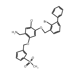 CS(=O)(=O)c1cccc(COc2cc(OCc3cccc(-c4ccccc4)c3Br)c(Cl)cc2CN)c1